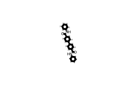 O=C(Nc1ccccc1)c1ccc(-c2ccc(C(=O)Nc3ccccc3)cc2)cc1